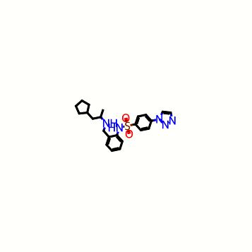 CC(CC1CCCC1)NCc1ccccc1NS(=O)(=O)c1ccc(-n2ccnn2)cc1